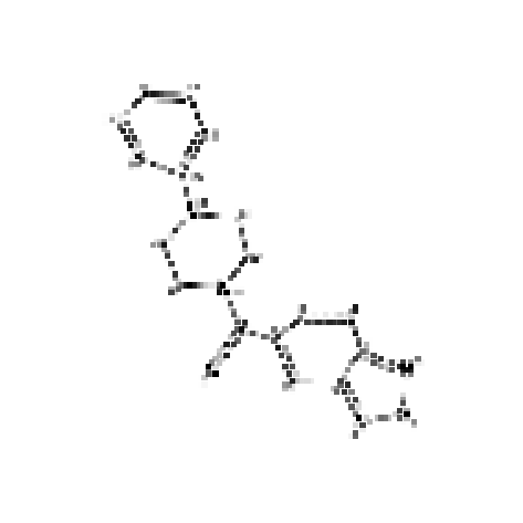 O=C(c1ccc2nonc2c1)N1CCN(c2ccccc2)CC1